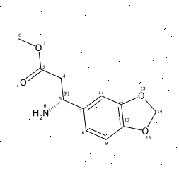 COC(=O)C[C@@H](N)c1ccc2c(c1)OCO2